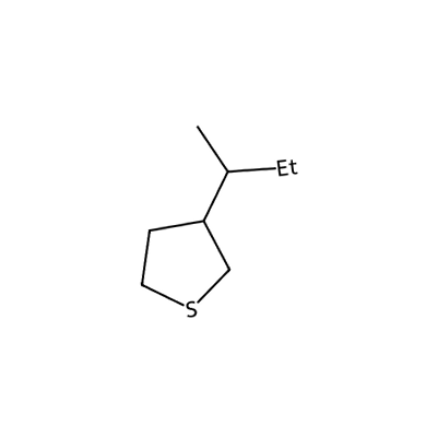 CCC(C)C1CCSC1